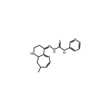 CC1C=CN=C2/C(=N\NC(=S)Nc3cccnc3)CCNC2C1